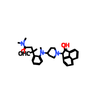 CN(C)C(=O)CC(C)(C=O)c1ccccc1N(C)C1CCN(C2c3cccc4cccc(c34)[C@@H]2O)CC1